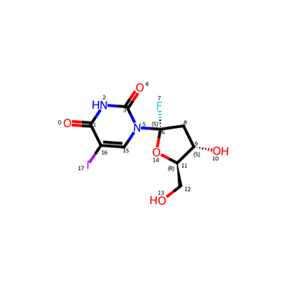 O=c1[nH]c(=O)n([C@@]2(F)C[C@H](O)[C@@H](CO)O2)cc1I